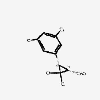 O=C[C@H]1[C@@H](c2cc(Cl)cc(Cl)c2)C1(Cl)Cl